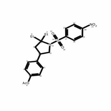 CCC1(CC)CC(c2ccc(OC(C)=O)cc2)CN1S(=O)(=O)c1ccc([N+](=O)[O-])cc1